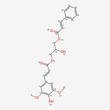 COc1cc(/C=C/C(=O)OCC(O)COC(=O)/C=C/c2ccccc2)cc(OC)c1O